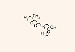 COc1cc(CCC(=O)CC(=O)C(C)C)ccc1O